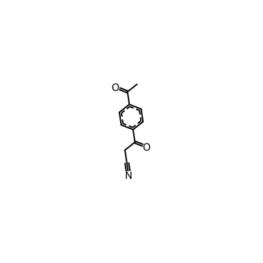 CC(=O)c1ccc(C(=O)CC#N)cc1